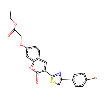 CCOC(=O)COc1ccc2cc(-c3nc(-c4ccc(Br)cc4)cs3)c(=O)oc2c1